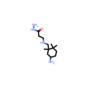 CC1(C)CCC(N)CC1(C)CNCCC(=O)NN